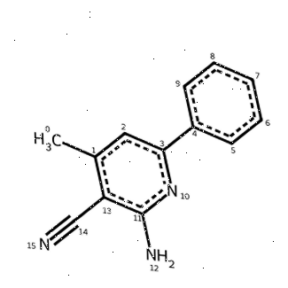 Cc1cc(-c2ccccc2)nc(N)c1C#N